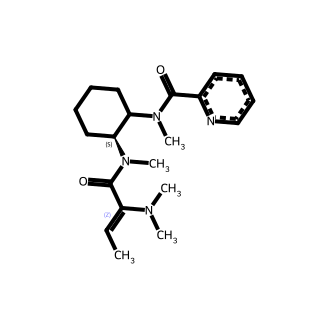 C/C=C(/C(=O)N(C)[C@H]1CCCCC1N(C)C(=O)c1ccccn1)N(C)C